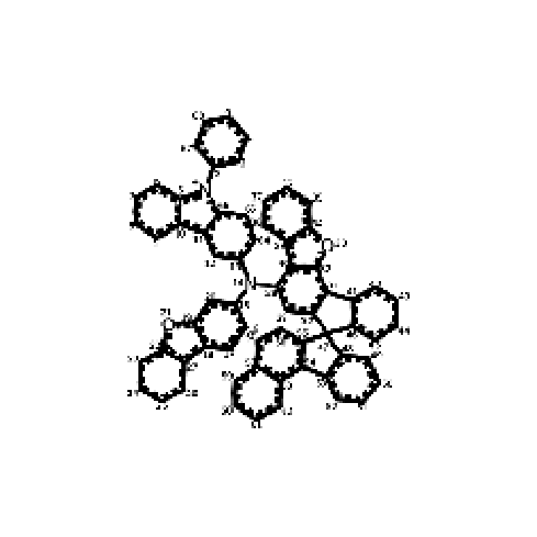 c1ccc(-n2c3ccccc3c3cc(N(c4ccc5c(c4)oc4ccccc45)c4cc5c(c6oc7ccccc7c46)-c4ccccc4C54c5ccccc5-c5c4ccc4ccccc54)ccc32)cc1